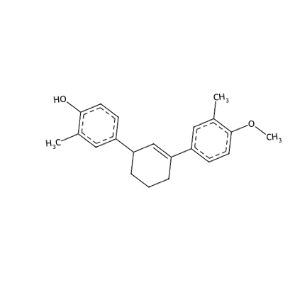 COc1ccc(C2=CC(c3ccc(O)c(C)c3)CCC2)cc1C